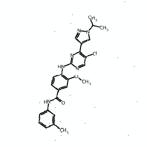 COc1cc(C(=O)Nc2cccc(C)c2)ccc1Nc1ncc(Cl)c(-c2cnn(C(C)C)c2)n1